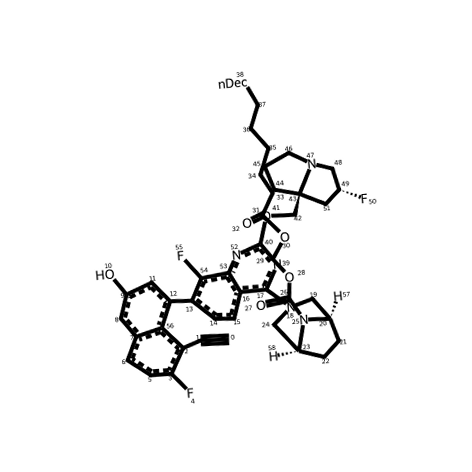 C#Cc1c(F)ccc2cc(O)cc(-c3ccc4c(N5C[C@H]6CC[C@@H](C5)N6C(=O)OCOC(=O)CCCCCCCCCCCCCCC)nc(OC[C@@]56CCCN5C[C@H](F)C6)nc4c3F)c12